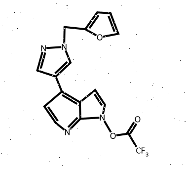 O=C(On1ccc2c(-c3cnn(Cc4ccco4)c3)ccnc21)C(F)(F)F